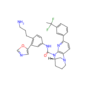 CC(F)(F)c1cccc(-c2ccc3c(n2)N(C(=O)Nc2ccc(CCCN)c(-c4cnco4)c2)[C@H]2CCCN3C2)c1